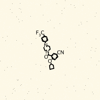 N#Cc1ccc(OC2CCCC2)c(C(=O)N2CCN(c3ccc(C(F)(F)F)cc3)CC2)c1